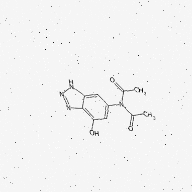 CC(=O)N(C(C)=O)c1cc(O)c2nn[nH]c2c1